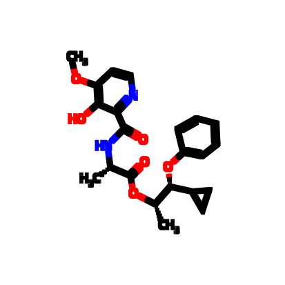 COc1ccnc(C(=O)N[C@@H](C)C(=O)O[C@@H](C)[C@H](Oc2ccccc2)C2CC2)c1O